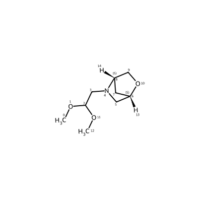 COC(CN1C[C@@H]2C[C@H]1CO2)OC